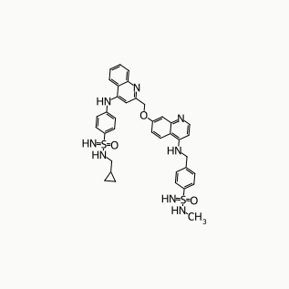 CNS(=N)(=O)c1ccc(CNc2ccnc3cc(OCc4cc(Nc5ccc(S(=N)(=O)NCC6CC6)cc5)c5ccccc5n4)ccc23)cc1